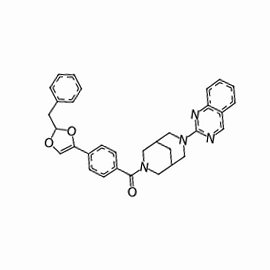 O=C(c1ccc(C2=COC(Cc3ccccc3)O2)cc1)N1CC2CC(C1)CN(c1ncc3ccccc3n1)C2